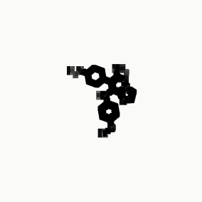 CCOc1ccc(Nc2c(C3CCC(N)CC3)c(N)nn3ccnc23)cc1